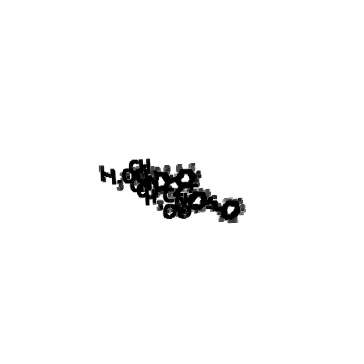 CC(c1ccccc1C1=CCN(C(=O)OC(C)(C)C)CC1)n1c(=O)oc2cc(SCc3ccccc3)cc(F)c21